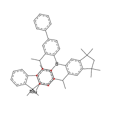 Cc1cc(C(C)(C)C)cc2c1B(c1ccc(-c3ccccc3)cc1C(C)c1cccc3c1-c1ccccc1C3(C)C)c1cc3c(cc1C2C)C(C)(C)CC3(C)C